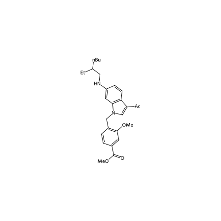 CCCCC(CC)CNc1ccc2c(C(C)=O)cn(Cc3ccc(C(=O)OC)cc3OC)c2c1